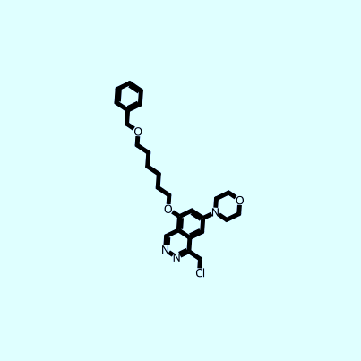 ClCc1nncc2c(OCCCCCCOCc3ccccc3)cc(N3CCOCC3)cc12